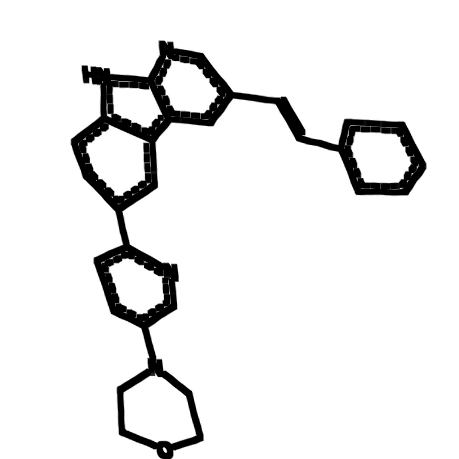 C(=Cc1cnc2[nH]c3ccc(-c4ccc(N5CCOCC5)cn4)cc3c2c1)c1ccccc1